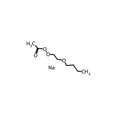 CCCCOCCOOC(C)=O.[Na]